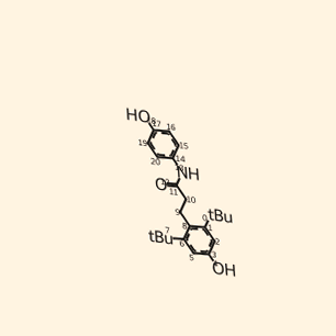 CC(C)(C)c1cc(O)cc(C(C)(C)C)c1CCC(=O)Nc1ccc(O)cc1